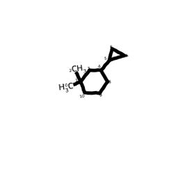 CC1(C)[CH]C(C2CC2)CCC1